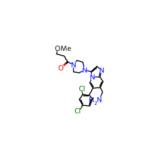 COCCC(=O)N1CCN(c2cnc3cc(CN)c(-c4ccc(Cl)cc4Cl)cn23)CC1